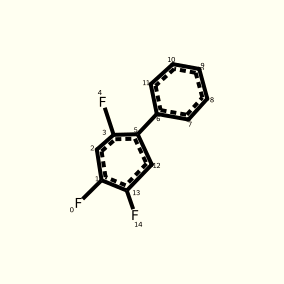 Fc1cc(F)c(-c2cc[c]cc2)cc1F